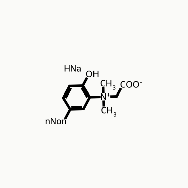 CCCCCCCCCc1ccc(O)c([N+](C)(C)CC(=O)[O-])c1.[NaH]